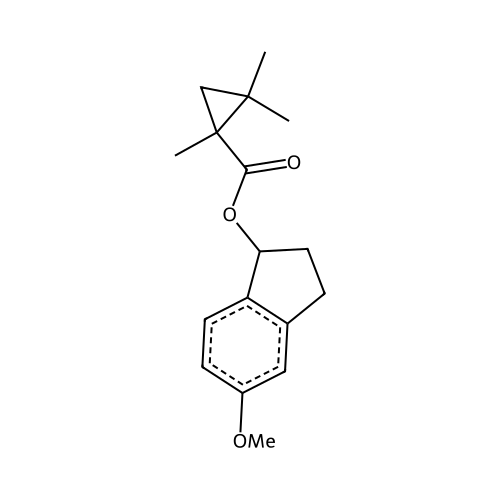 COc1ccc2c(c1)CCC2OC(=O)C1(C)CC1(C)C